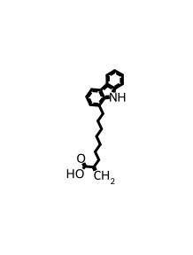 C=C(CCCCCCCc1cccc2c1[nH]c1ccccc12)C(=O)O